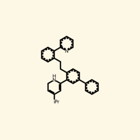 CC(C)C1=CCNC(c2cc(-c3ccccc3)ccc2CCc2ccccc2-c2ccccn2)=C1